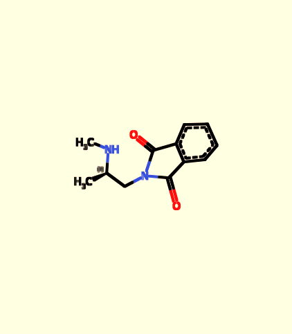 CN[C@H](C)CN1C(=O)c2ccccc2C1=O